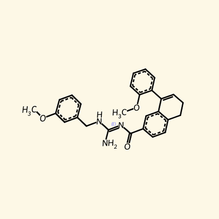 COc1cccc(CN/C(N)=N/C(=O)c2ccc3c(c2)C(c2ccccc2OC)=CCC3)c1